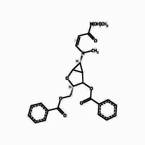 CN(O)C(=O)/C=C\N(C)[C@H]1C2O[C@@H](COC(=O)c3ccccc3)C(OC(=O)c3ccccc3)C21